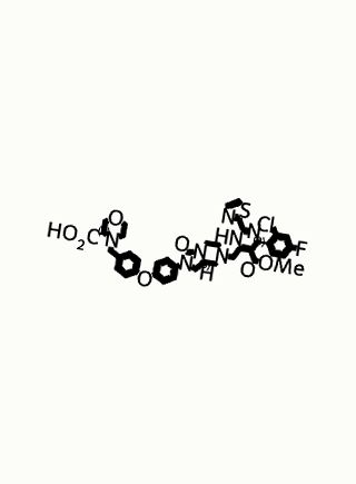 COC(=O)C1=C(CN2CCN3C(=O)N(c4ccc(Oc5ccc(CN6CCOC[C@H]6C(=O)O)cc5)cc4)C[C@@H]3C2)NC(c2nccs2)=N[C@H]1c1ccc(F)cc1Cl